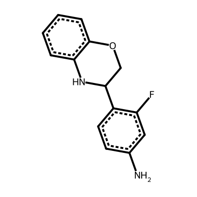 Nc1ccc(C2COc3ccccc3N2)c(F)c1